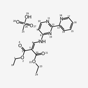 CCOC(=O)C(=CNc1ccnc(-c2ccccn2)n1)C(=O)OCC.CS(=O)(=O)O